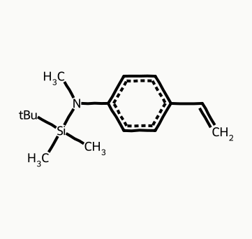 C=Cc1ccc(N(C)[Si](C)(C)C(C)(C)C)cc1